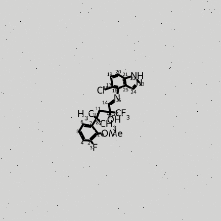 COc1c(F)cccc1C(C)(C)CC(O)(/C=N/c1c(Cl)ccc2[nH]ncc12)C(F)(F)F